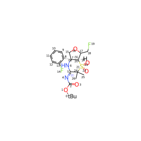 CC(C)(C)OC(=O)/N=C1/N[C@@]2(c3ccccc3F)COC(CF)[C@H]2S(=O)(=O)C1(C)C